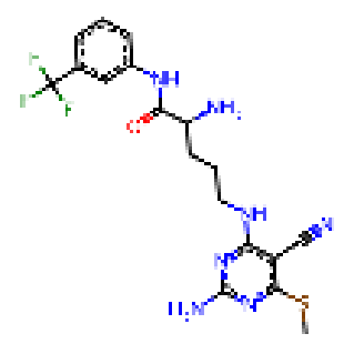 CSc1nc(N)nc(NCCC[C@H](N)C(=O)Nc2cccc(C(F)(F)F)c2)c1C#N